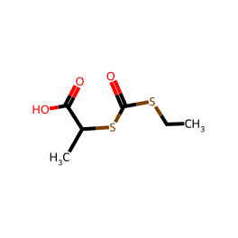 CCSC(=O)SC(C)C(=O)O